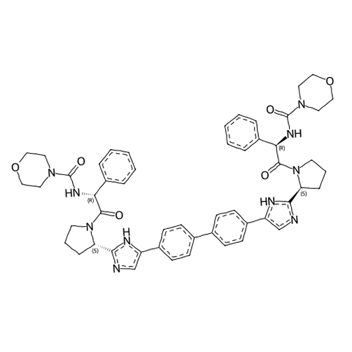 O=C(N[C@@H](C(=O)N1CCC[C@H]1c1ncc(-c2ccc(-c3ccc(-c4cnc([C@@H]5CCCN5C(=O)[C@H](NC(=O)N5CCOCC5)c5ccccc5)[nH]4)cc3)cc2)[nH]1)c1ccccc1)N1CCOCC1